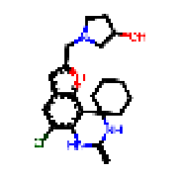 C=C1Nc2c(Cl)cc3cc(CN4CCC(O)C4)oc3c2C2(CCCCC2)N1